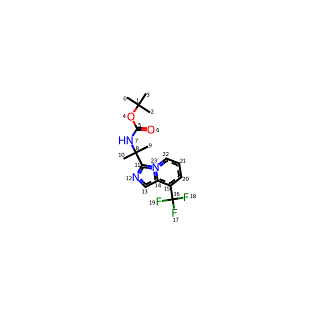 CC(C)(C)OC(=O)NC(C)(C)c1ncc2c(C(F)(F)F)cccn12